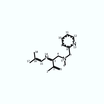 C=C(C)/C(CN(C)Cc1ccccn1)=N\C=C(C)C